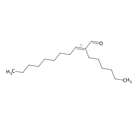 CCCCCCCC/C=C(/C=O)CCCCCC